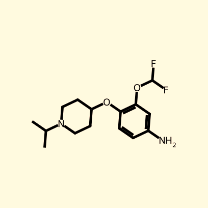 CC(C)N1CCC(Oc2ccc(N)cc2OC(F)F)CC1